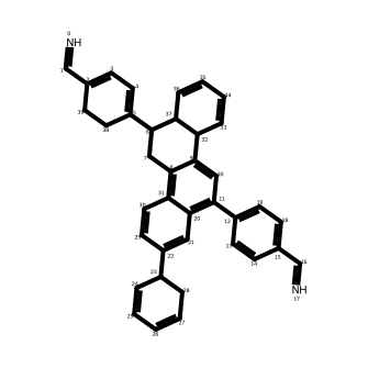 N=CC1=CC=C(C2Cc3c(cc(-c4ccc(C=N)cc4)c4cc(C5C=CC=CC5)ccc34)C3C=CC=CC23)CC1